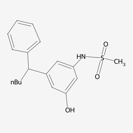 CCCCC(c1ccccc1)c1cc(O)cc(NS(C)(=O)=O)c1